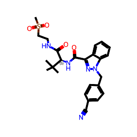 CC(C)(C)[C@H](NC(=O)c1nn(Cc2ccc(C#N)cc2)c2ccccc12)C(=O)NCCS(C)(=O)=O